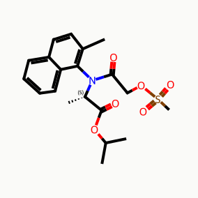 Cc1ccc2ccccc2c1N(C(=O)COS(C)(=O)=O)[C@@H](C)C(=O)OC(C)C